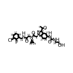 CC(=O)c1nn(CC(=O)N(CC(=O)NCc2cccc(Cl)c2F)C2CC2)c2ccc(NC(=O)NCCO)cc12